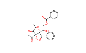 CC(=O)C(=O)C(O)(C(C)=O)C(O)(C(=O)c1ccccc1)C(O)COC(=O)c1ccccc1